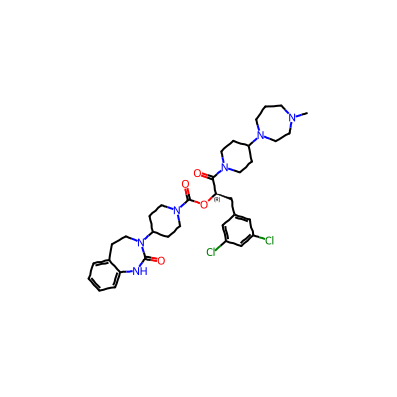 CN1CCCN(C2CCN(C(=O)[C@@H](Cc3cc(Cl)cc(Cl)c3)OC(=O)N3CCC(N4CCc5ccccc5NC4=O)CC3)CC2)CC1